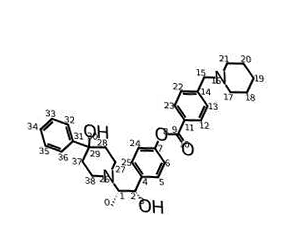 C[C@@H]([C@@H](O)c1ccc(OC(=O)c2ccc(CN3CCCCC3)cc2)cc1)N1CCC(O)(c2ccccc2)CC1